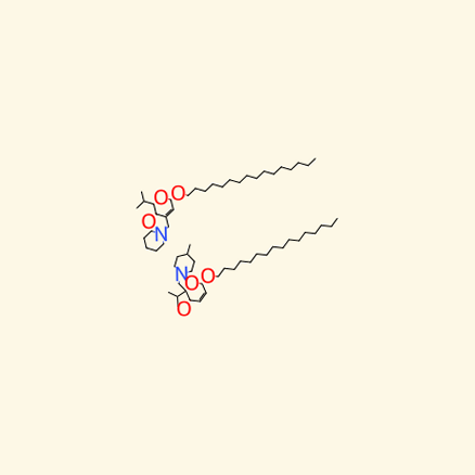 CCCCCCCCCCCCCCCCOC1C=C(CN2CCCCC2)C(=O)C(C(C)C)O1.CCCCCCCCCCCCCCCCOC1C=CC(=O)C(CN2CCC(C)CC2)(C(C)C)O1